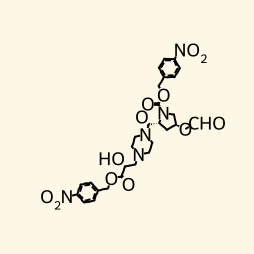 O=CO[C@H]1C[C@H](C(=O)N2CCN(CC(O)C(=O)OCc3ccc([N+](=O)[O-])cc3)CC2)N(C(=O)OCc2ccc([N+](=O)[O-])cc2)C1